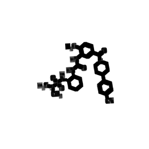 Cc1ccc(C(=O)N2CCC(c3ccc(C#N)cc3)CC2)cc1NC(=O)N[C@H]1CCCC[C@@H]1NS(=O)(=O)N(C)C